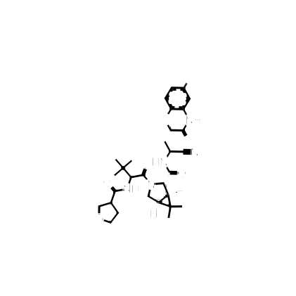 CC(C)(C)C(NC(=O)C1CCOC1)C(=O)N1C[C@H]2[C@@H]([C@H]1C(=O)NC(C#N)C[C@@H]1Oc3ccc(Cl)cc3NC1=O)C2(C)C